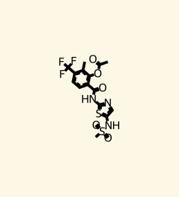 CC(=O)Oc1c(C(=O)Nc2ncc(NS(C)(=O)=O)s2)ccc(C(F)(F)F)c1C